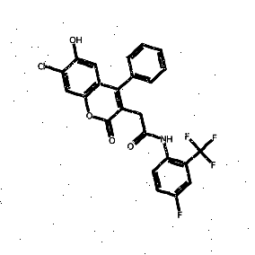 O=C(Cc1c(-c2ccccc2)c2cc(O)c(Cl)cc2oc1=O)Nc1ccc(F)cc1C(F)(F)F